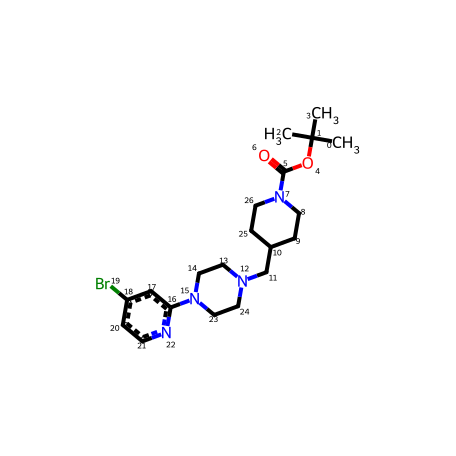 CC(C)(C)OC(=O)N1CCC(CN2CCN(c3cc(Br)ccn3)CC2)CC1